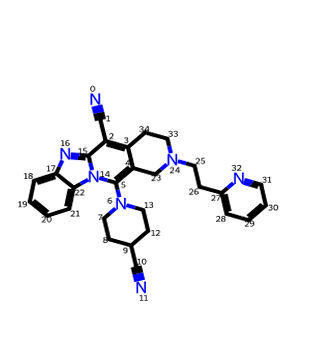 N#Cc1c2c(c(N3CCC(C#N)CC3)n3c1nc1ccccc13)CN(CCc1ccccn1)CC2